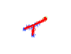 Cc1c(F)c(F)c(F)c(OC(=O)CCOCCOCCOCCOCCNCCC[C@H](CCCCNC(=O)CCOCCOCCN=[N+]=[N-])NC(=O)CCCNC(=O)CCOCCOCCN=[N+]=[N-])c1F